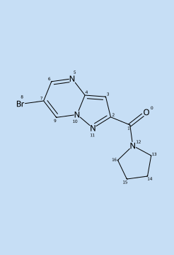 O=C(c1cc2ncc(Br)cn2n1)N1CCCC1